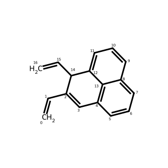 C=CC1=Cc2cccc3cccc(c23)C1C=C